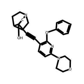 OC1(C#Cc2ccc(N3CCOCC3)nc2Oc2ccccc2)CN2CCC1CC2